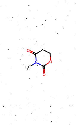 CN1C(=O)CCOC1=O